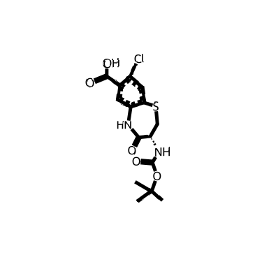 CC(C)(C)OC(=O)N[C@H]1CSc2cc(Cl)c(C(=O)O)cc2NC1=O